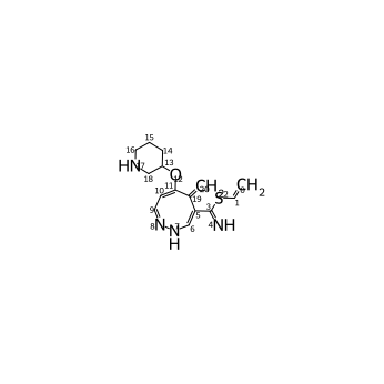 C=CSC(=N)/C1=C/N/N=C\C=C(\OC2CCCNC2)C1=C